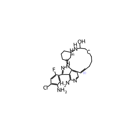 Nc1cc(-c2nn3c4c(cnc(N)c24)/C=C/CCCCCC(O)N[C@@H]2CCC[C@@H]3C2)c(F)cc1Cl